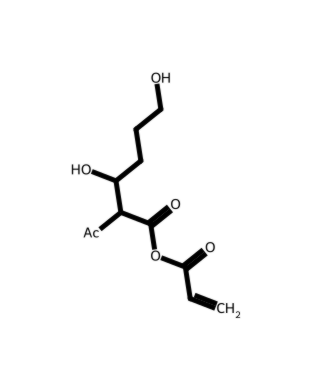 C=CC(=O)OC(=O)C(C(C)=O)C(O)CCCO